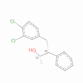 C[C@H](O)[C@H](Cc1ccc(Cl)c(Cl)c1)c1ccccc1